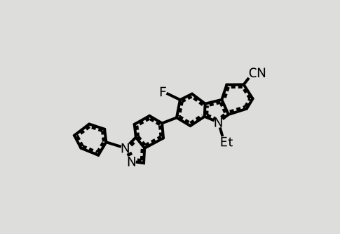 CCn1c2ccc(C#N)cc2c2cc(F)c(-c3ccc4c(cnn4-c4ccccc4)c3)cc21